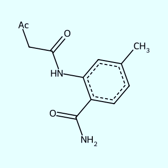 CC(=O)CC(=O)Nc1cc(C)ccc1C(N)=O